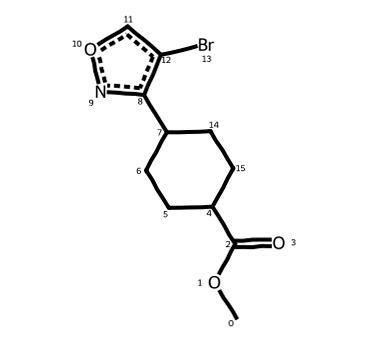 COC(=O)C1CCC(c2nocc2Br)CC1